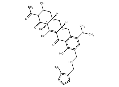 CN(C)c1cc(CNCc2cccn2C)c(O)c2c1C[C@H]1C[C@H]3CC(O)C(C(N)=O)C(=O)[C@@]3(O)C(O)=C1C2=O